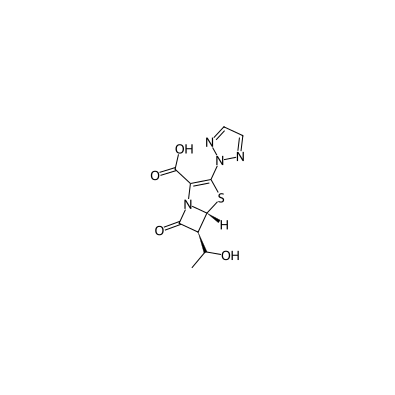 CC(O)[C@H]1C(=O)N2C(C(=O)O)=C(n3nccn3)S[C@H]12